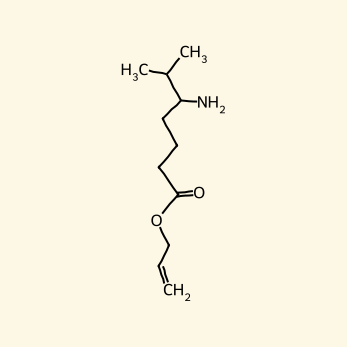 C=CCOC(=O)CCCC(N)C(C)C